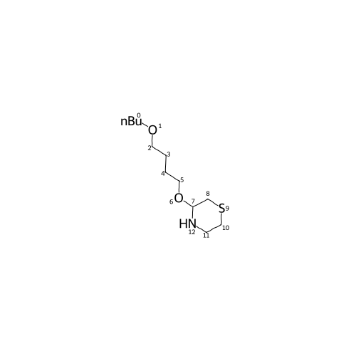 CCCCOCCCCOC1CSCCN1